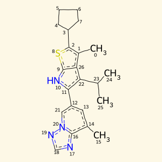 Cc1c(C2CCCC2)sc2[nH]c(-c3cc(C)c4ncnn4c3)c(C(C)C)c12